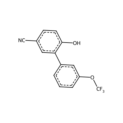 N#Cc1ccc(O)c(-c2cccc(OC(F)(F)F)c2)c1